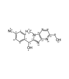 Cn1c(C(O)c2ccc(C#N)cc2)nc2nc(CO)ccc21